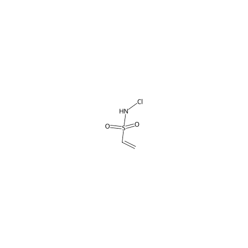 C=CS(=O)(=O)NCl